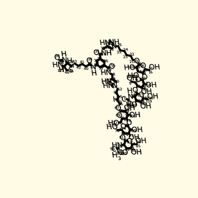 CC(=O)NC1[C@H](O[C@H]2C(CO)O[C@@H](O[C@@H]3C(CO)O[C@@H](OCCCCCCN4C=C(CNC(=O)c5cc(NC(=O)CCCC[C@H]6SC[C@H]7NC(=O)N[C@H]76)cc(C(=O)NCC6=CN(CCCCCO[C@@H]7OC(CO)[C@@H](O[C@@H]8OC(CO)[C@H](O[C@@H]9OC(CO)[C@H](O)[C@H](O)C9NC(C)=O)[C@H](O)C8O)C(O)[C@@H]7O)NN6)c5)NN4)[C@@H](O)C3O)C(O)[C@H]2O)OC(CO)[C@H](O)[C@@H]1O